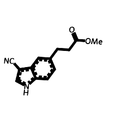 COC(=O)CCc1ccc2[nH]cc(C#N)c2c1